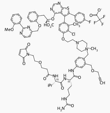 C#CCOCc1cc(NC(=O)[C@H](CCCNC(N)=O)NC(=O)[C@@H](NC(=O)CCOCCN2C(=O)C=CC2=O)C(C)C)ccc1C[N+]1(C)CCN(CCOc2ccc(-c3c(-c4ccc(F)cc4)sc4ncnc(O[C@H](Cc5ccccc5OCc5ccnc(-c6ccccc6OC)n5)C(=O)O)c34)c(C)c2Cl)CC1.O=C([O-])C(F)(F)F